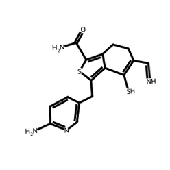 N=CC1=C(S)c2c(Cc3ccc(N)nc3)sc(C(N)=O)c2CC1